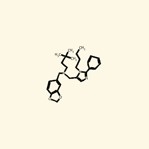 CCCCn1c(CN(CCC(C)(C)C)Cc2ccc3c(c2)OCO3)cnc1-c1ccccc1